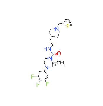 C[C@@H]1CN(c2cc(F)c(F)c(F)c2)CCN1C(=O)NCCC1CCN(Cc2cccs2)CC1